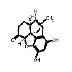 CN1CC[C@]23c4c5c(O)cc(O)c4O[C@H]2C(=O)CC[C@@]3(O)[C@H]1C5